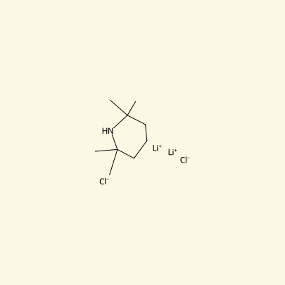 CC1(C)CCCC(C)(C)N1.[Cl-].[Cl-].[Li+].[Li+]